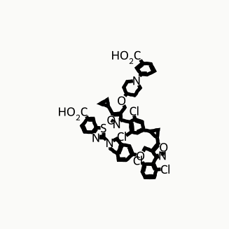 O=C(O)c1cccc(N2CCC(OCc3c(-c4c(Cl)cc(C5CC5c5onc(-c6c(Cl)cccc6Cl)c5COc5ccc6c(c5)CN(c5nc7ccc(C(=O)O)cc7s5)C6)cc4Cl)noc3C3CC3)CC2)c1